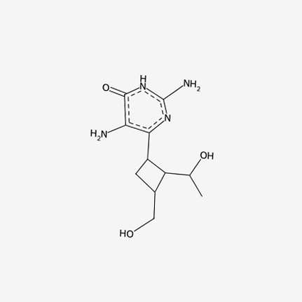 CC(O)C1C(CO)CC1c1nc(N)[nH]c(=O)c1N